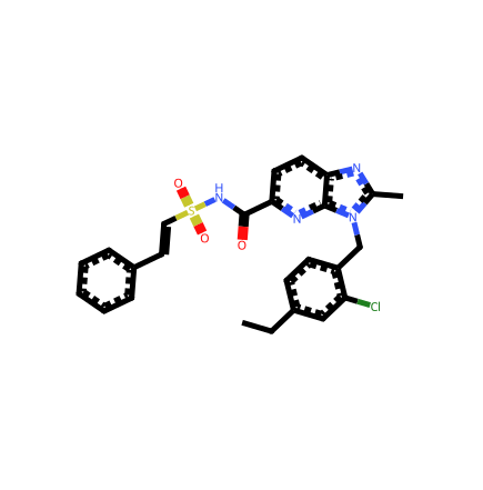 CCc1ccc(Cn2c(C)nc3ccc(C(=O)NS(=O)(=O)C=Cc4ccccc4)nc32)c(Cl)c1